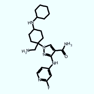 NCC1(n2cc(C(N)=O)c(Nc3ccnc(F)c3)n2)CCC(NC2CCCCC2)CC1